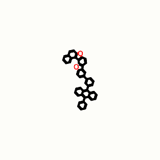 c1ccc(-c2c3ccccc3c(-c3cccc(-c4ccc5oc6c(ccc7oc8ccc9ccccc9c8c76)c5c4)c3)c3ccccc23)cc1